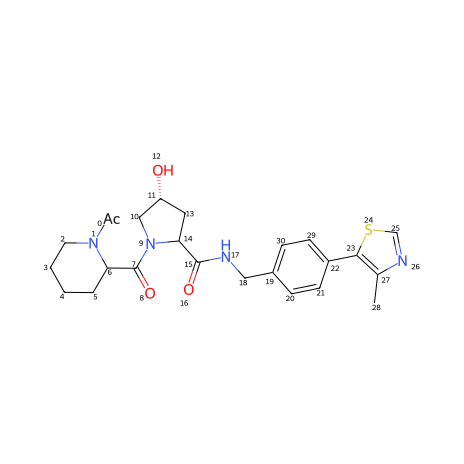 CC(=O)N1CCCCC1C(=O)N1C[C@H](O)CC1C(=O)NCc1ccc(-c2scnc2C)cc1